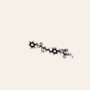 NC(=O)[C@H](CCc1ccc(CCCCNC(=O)OCc2ccccc2)cc1)NCl